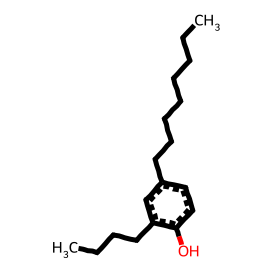 CCCCCCCCc1ccc(O)c(CCCC)c1